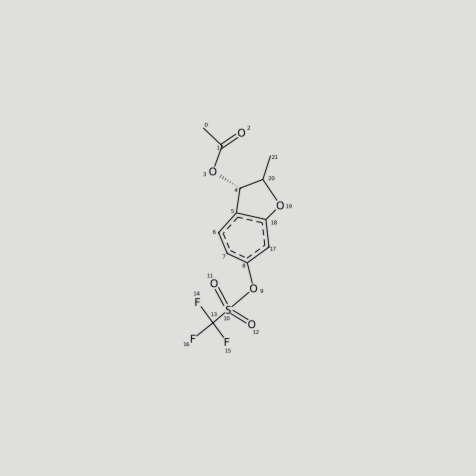 CC(=O)O[C@H]1c2ccc(OS(=O)(=O)C(F)(F)F)cc2OC1C